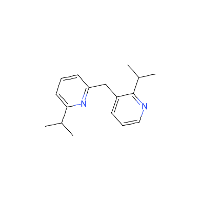 CC(C)c1cccc(Cc2cccnc2C(C)C)n1